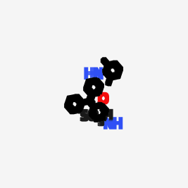 Cc1cccc(C)c1Nc1ccc2c(-c3ccccc3S(=O)(=O)O)c3ccc(=N)cc-3oc2c1